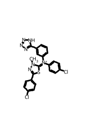 Cn1nc(-c2ccc(Cl)cc2)sc1=[N+](c1ccc(Cl)cc1)c1cccc(-c2nnn[nH]2)c1